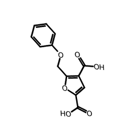 O=C(O)c1cc(C(=O)O)c(COc2ccccc2)o1